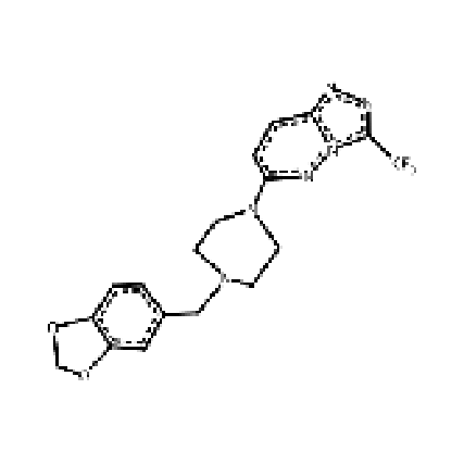 FC(F)(F)c1nnc2ccc(N3CCN(Cc4ccc5c(c4)OCO5)CC3)nn12